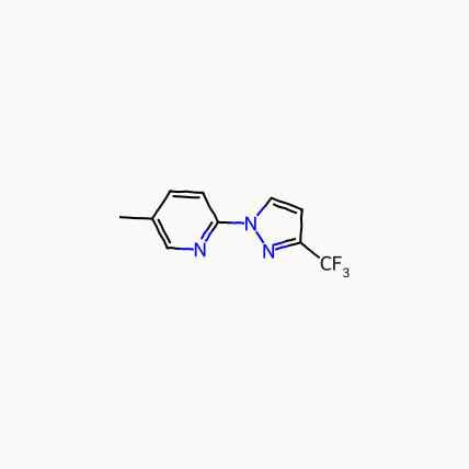 Cc1ccc(-n2ccc(C(F)(F)F)n2)nc1